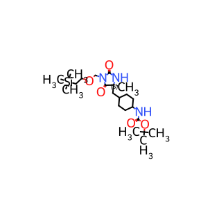 CC(C)(C)OC(=O)NC1CCC(C[C@]2(C)NC(=O)N(COCC[Si](C)(C)C)C2=O)CC1